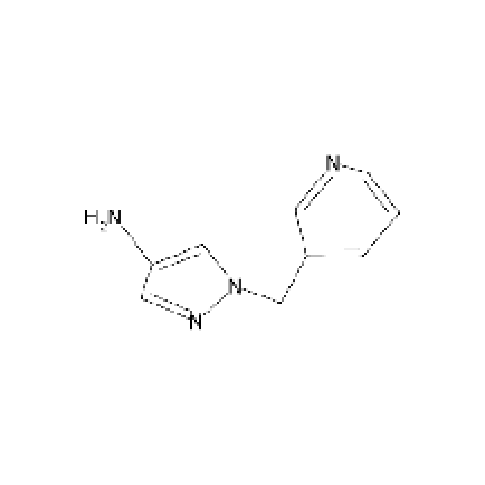 Nc1cnn(Cc2cccnc2)c1